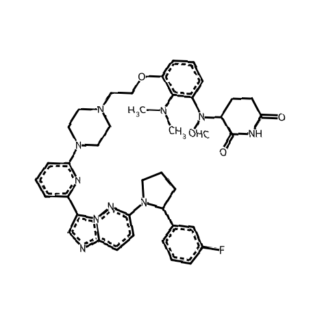 CN(C)c1c(OCCN2CCN(c3cccc(-c4cnc5ccc(N6CCCC6c6cccc(F)c6)nn45)n3)CC2)cccc1N(C=O)C1CCC(=O)NC1=O